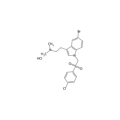 CN(C)CCc1cn(CS(=O)(=O)c2ccc(Cl)cc2)c2ccc(Br)cc12.Cl